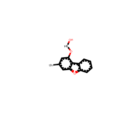 CC(C)(C)c1cc(OBO)c2c(c1)oc1ccccc12